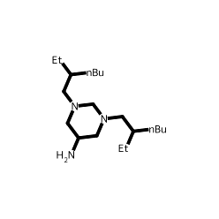 CCCCC(CC)CN1CC(N)CN(CC(CC)CCCC)C1